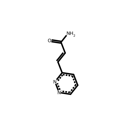 NC(=O)C=Cc1cccnn1